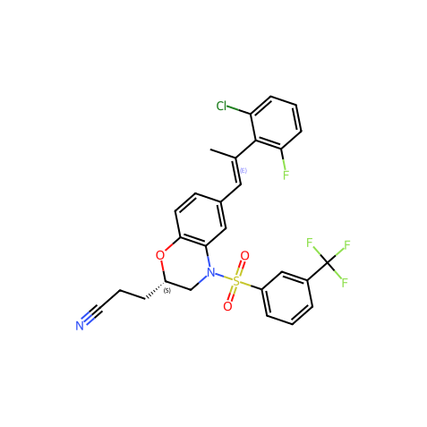 C/C(=C\c1ccc2c(c1)N(S(=O)(=O)c1cccc(C(F)(F)F)c1)C[C@H](CCC#N)O2)c1c(F)cccc1Cl